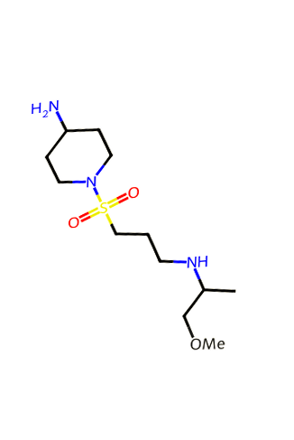 COCC(C)NCCCS(=O)(=O)N1CCC(N)CC1